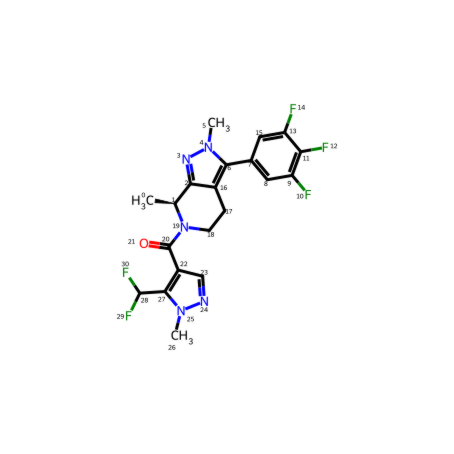 C[C@H]1c2nn(C)c(-c3cc(F)c(F)c(F)c3)c2CCN1C(=O)c1cnn(C)c1C(F)F